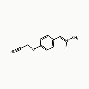 C#CCOc1ccc(/C=[N+](/C)[O-])cc1